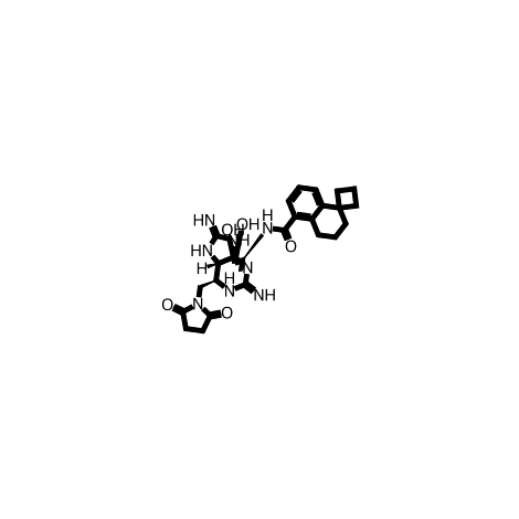 N=C1N[C@H]2[C@H](CN3C(=O)CCC3=O)NC(=N)N3C[C@H](NC(=O)c4cccc5c4CCCC54CCC4)C(O)(O)C23N1